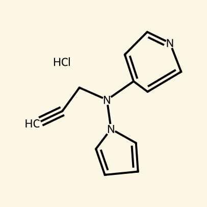 C#CCN(c1ccncc1)n1cccc1.Cl